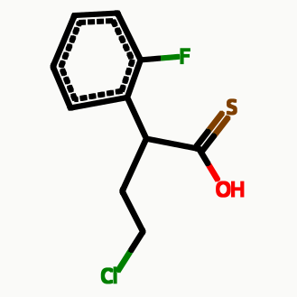 OC(=S)C(CCCl)c1ccccc1F